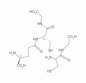 NC(CS)C(=O)NCC(=O)O.N[C@@H](CCC(=O)N[C@@H](CS)C(=O)NCC(=O)O)C(=O)O